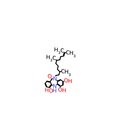 CC(C)=CCCC(C)CCCC(C)CCN1C(=O)c2cccc(O)c2Nc2c(O)cc(O)cc21